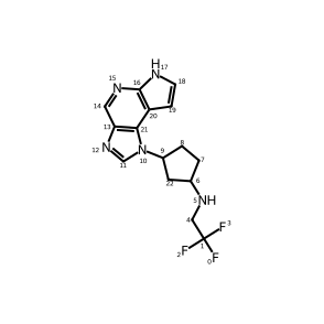 FC(F)(F)CNC1CCC(n2cnc3cnc4[nH]ccc4c32)C1